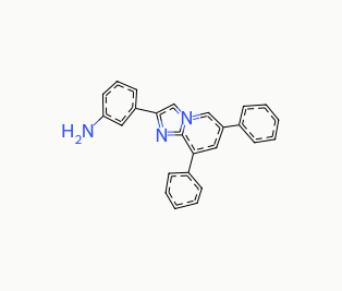 Nc1cccc(-c2cn3cc(-c4ccccc4)cc(-c4ccccc4)c3n2)c1